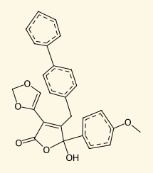 COc1ccc(C2(O)OC(=O)C(C3=COCO3)=C2Cc2ccc(-c3ccccc3)cc2)cc1